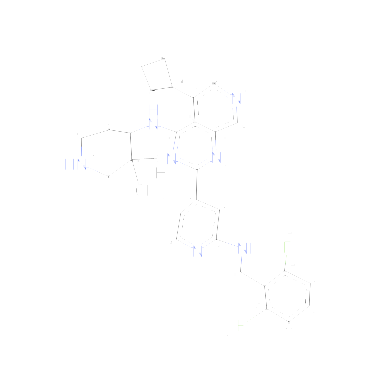 CC1(C)CNCCC1Nc1nc(-c2ccnc(NCc3c(F)cccc3F)c2)nc2cncc(C3CCC3)c12